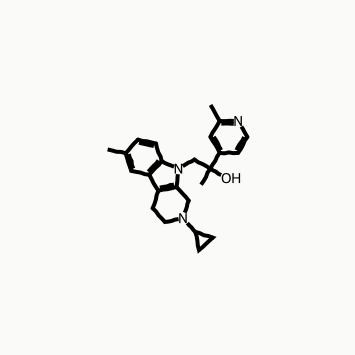 Cc1ccc2c(c1)c1c(n2CC(C)(O)c2ccnc(C)c2)CN(C2CC2)CC1